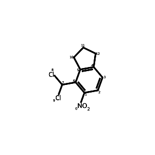 O=[N+]([O-])c1ccc2c(c1C(Cl)Cl)CCC2